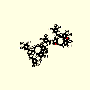 O=C[C@H](OC(=O)c1cc(O)c(O)c(O)c1)[C@@H](OC(=O)c1cc(O)c(O)c(O)c1)[C@@H]1OC(=O)c2cc(O)c(O)c(O)c2-c2c(cc(Oc3c(C(=O)O[C@@H](C=O)[C@@H](OC(=O)c4cc(O)c(O)c(O)c4)[C@@H]4OC(=O)c5cc(O)c(O)c(O)c5-c5c(cc(O)c(O)c5O)C(=O)OC[C@H]4O)cc(O)c(O)c3O)c(O)c2O)C(=O)OC[C@H]1O